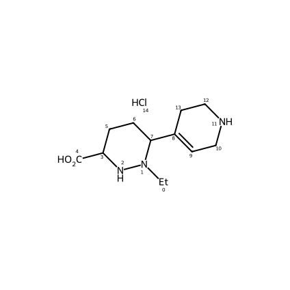 CCN1NC(C(=O)O)CCC1C1=CCNCC1.Cl